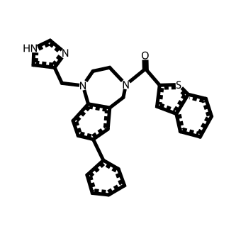 O=C(c1cc2ccccc2s1)N1CCN(Cc2c[nH]cn2)c2ccc(-c3ccccc3)cc2C1